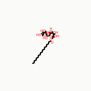 CCCCCCCCCCCCCCCCCC(=O)OCC1(C)OC(C)(OC2(CO)OC(C)(CO)C(C)(O)C2(C)O)C(C)(O)C(C)(O)C1(C)O